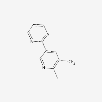 Cc1ncc(-c2ncccn2)cc1C(F)(F)F